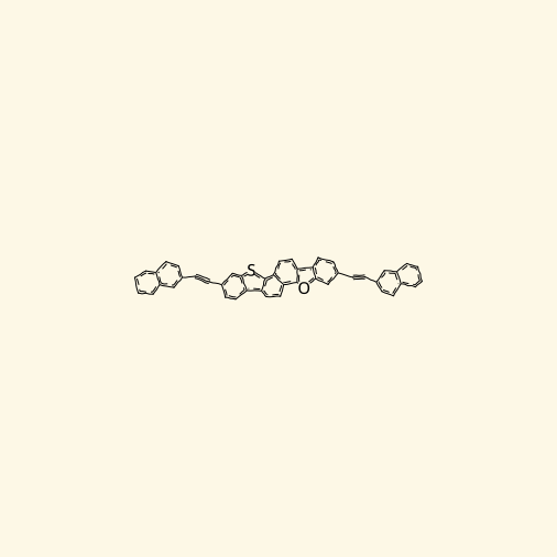 C(#Cc1ccc2c(c1)oc1c2ccc2c1ccc1c3ccc(C#Cc4ccc5ccccc5c4)cc3sc12)c1ccc2ccccc2c1